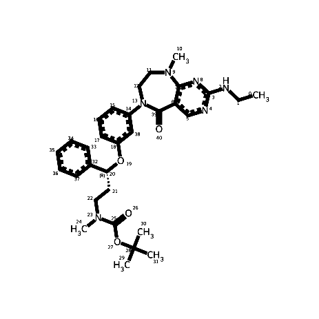 CCNc1ncc2c(n1)N(C)CCN(c1cccc(O[C@H](CCN(C)C(=O)OC(C)(C)C)c3ccccc3)c1)C2=O